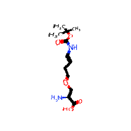 CC(C)(C)OC(=O)NCCCCOC[C@H](N)C(=O)O